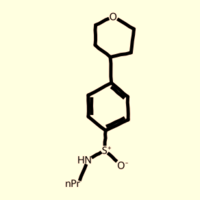 CCCN[S+]([O-])c1ccc(C2CCOCC2)cc1